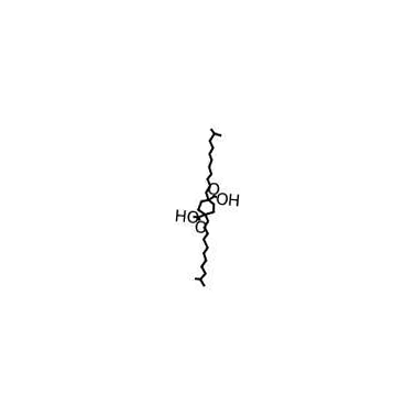 CC(C)CCCCCCCCCC1(C(=O)O)CCC(CCCCCCCCCC(C)C)(C(=O)O)CC1